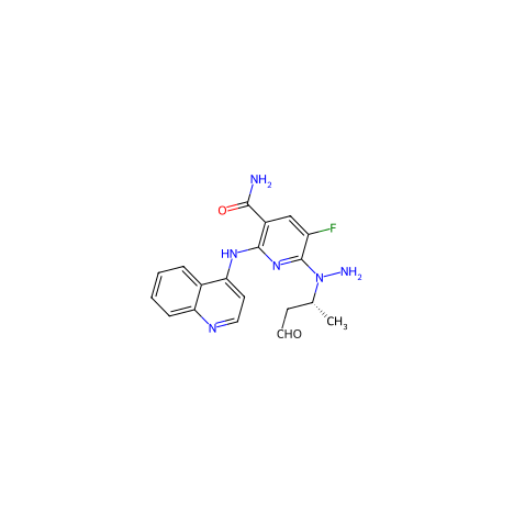 C[C@H](CC=O)N(N)c1nc(Nc2ccnc3ccccc23)c(C(N)=O)cc1F